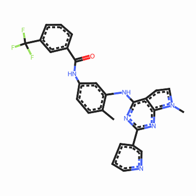 Cc1ccc(NC(=O)c2cccc(C(F)(F)F)c2)cc1Nc1nc(-c2cccnc2)nc2c1ccn2C